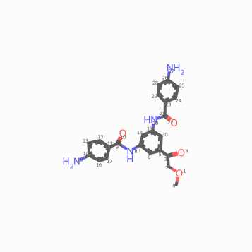 COCC(=O)c1cc(NC(=O)c2ccc(N)cc2)cc(NC(=O)c2ccc(N)cc2)c1